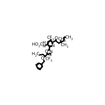 C=CCC(C)(C)CC(=O)c1nc(-c2nnc([C@@](CC=C)(OCc3ccccc3)C(F)(F)F)o2)c(NC(=O)O)cc1C(F)(F)F